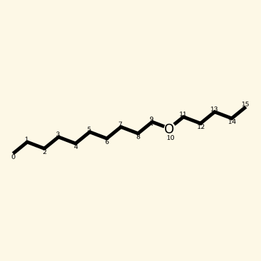 CCCCCCCCC[CH]OCCCCC